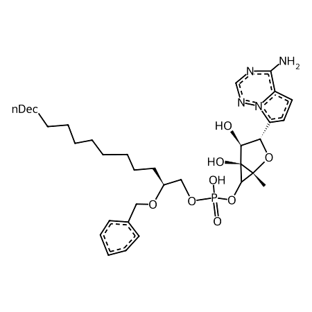 CCCCCCCCCCCCCCCCCC[C@@H](COP(=O)(O)OC1[C@@]2(C)O[C@@H](c3ccc4c(N)ncnn34)[C@H](O)[C@@]12O)OCc1ccccc1